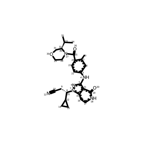 Cc1cc(Nc2nn([C@@H](CC#N)C3CC3)c3cc[nH]c(=O)c23)ccc1C(=O)N1CCOC[C@H]1C(C)C